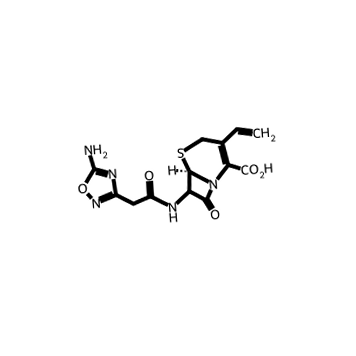 C=CC1=C(C(=O)O)N2C(=O)C(NC(=O)Cc3noc(N)n3)[C@H]2SC1